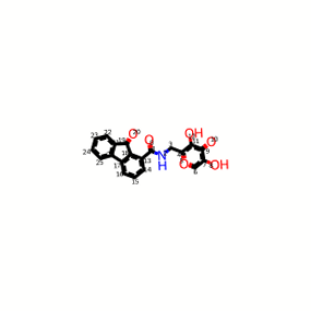 O=C(NCc1occ(O)c(=O)c1O)c1cccc2c1C(=O)c1ccccc1-2